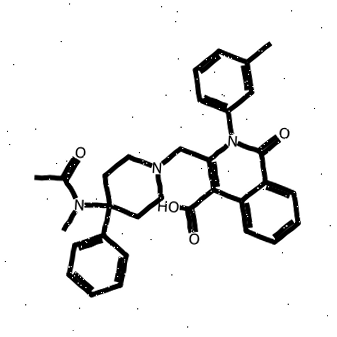 CC(=O)N(C)C1(c2ccccc2)CCN(Cc2c(C(=O)O)c3ccccc3c(=O)n2-c2cccc(C)c2)CC1